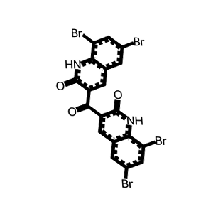 O=C(c1cc2cc(Br)cc(Br)c2[nH]c1=O)c1cc2cc(Br)cc(Br)c2[nH]c1=O